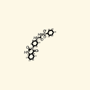 O=C(Nc1ccc(-n2c(=O)[nH]c3ccccc3c2=O)cc1)NS(=O)(=O)c1ccccc1